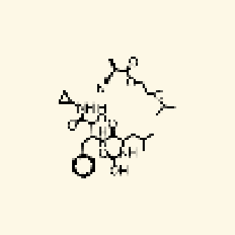 C=C(C#N)C(=O)OCCOC(C)C.CC(C)CC(NC(=O)O)C(=O)NC(Cc1ccccc1)C(O)C(=O)NC1CC1